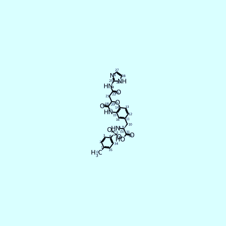 Cc1ccc(S(=O)(=O)N[C@@H](Cc2ccc3c(c2)NC(=O)C(CC(=O)Nc2ncc[nH]2)O3)C(=O)O)cc1